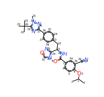 CC(C)Oc1ccc(C(=O)NC(Cc2ccc(-c3nc(C(C)(C)C)n(C)n3)cc2)c2ncon2)cc1C#N